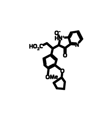 COc1ccc(C(CC(=O)O)C2C(=O)c3ncccc3[NH+]2[O-])cc1OC1CCCC1